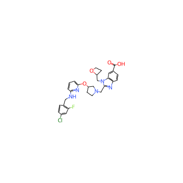 O=C(O)c1ccc2nc(CN3CCC(Oc4cccc(NCc5ccc(Cl)cc5F)n4)C3)n(CC3CCO3)c2c1